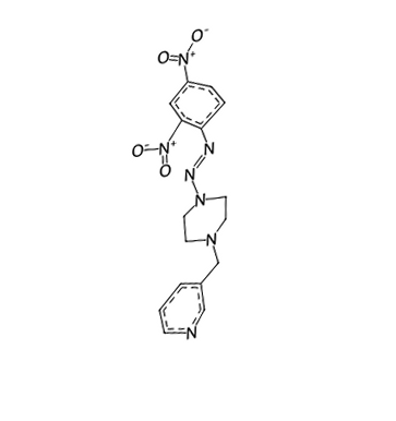 O=[N+]([O-])c1ccc(N=NN2CCN(Cc3cccnc3)CC2)c([N+](=O)[O-])c1